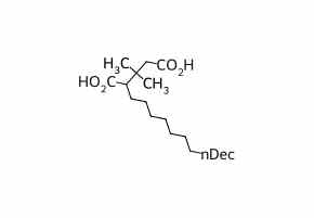 CCCCCCCCCCCCCCCCCC(C(=O)O)C(C)(C)CC(=O)O